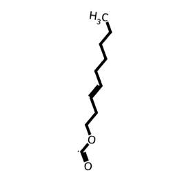 CCCCC/C=C/CCO[C]=O